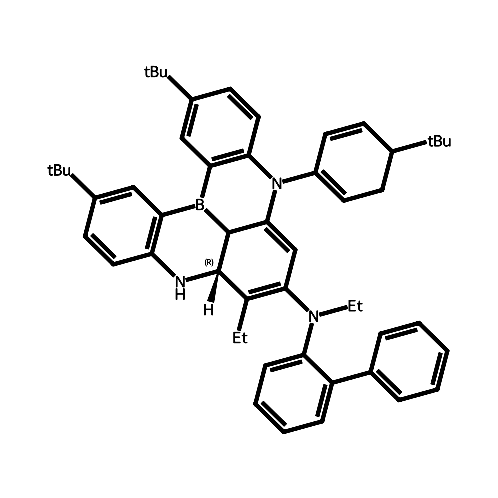 CCC1=C(N(CC)c2ccccc2-c2ccccc2)C=C2C3B(c4cc(C(C)(C)C)ccc4N[C@@H]13)c1cc(C(C)(C)C)ccc1N2C1=CCC(C(C)(C)C)C=C1